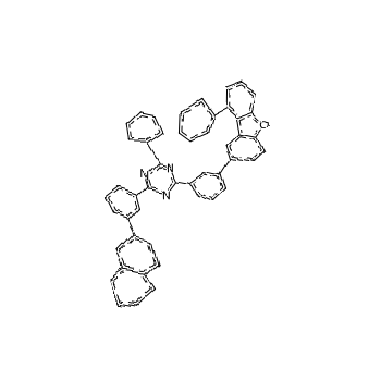 c1ccc(-c2nc(-c3cccc(-c4ccc5ccccc5c4)c3)nc(-c3cccc(-c4ccc5oc6cccc(-c7ccccc7)c6c5c4)c3)n2)cc1